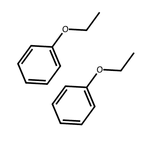 CCOc1ccccc1.CCOc1ccccc1